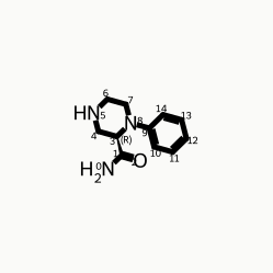 NC(=O)[C@H]1CNCCN1c1ccccc1